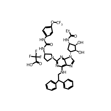 CCC(=O)N[C@H]1C[C@@H](n2cnc3c(NCC(c4ccccc4)c4ccccc4)nc(N4CC[C@@H](NC(=O)Nc5ccc(OC(F)(F)F)cc5)C4)nc32)[C@H](O)[C@@H]1O.O=C(O)C(F)(F)F